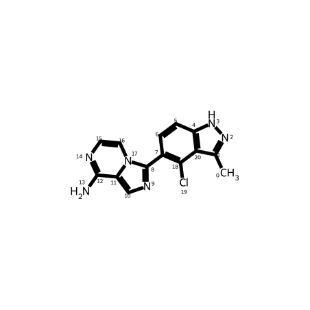 Cc1n[nH]c2ccc(-c3ncc4c(N)nccn34)c(Cl)c12